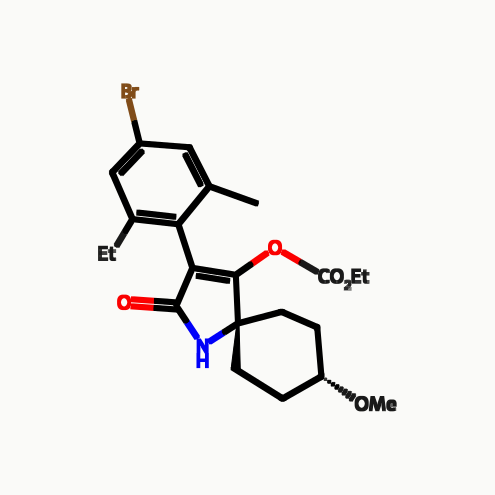 CCOC(=O)OC1=C(c2c(C)cc(Br)cc2CC)C(=O)N[C@]12CC[C@@H](OC)CC2